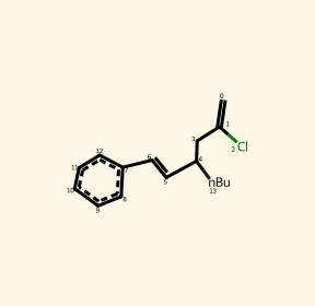 C=C(Cl)CC(/C=C/c1ccccc1)CCCC